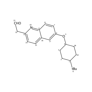 CC(C)(C)C1CCC(Oc2ccc3nc(CC=O)ccc3c2)CC1